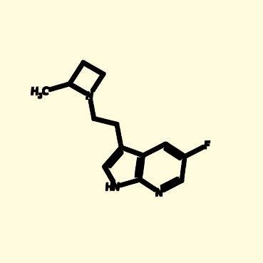 CC1CCN1CCc1c[nH]c2ncc(F)cc12